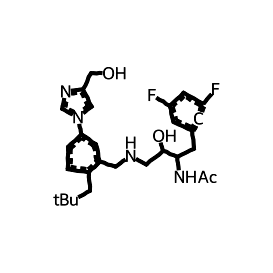 CC(=O)NC(Cc1cc(F)cc(F)c1)C(O)CNCc1cc(-n2cnc(CO)c2)ccc1CC(C)(C)C